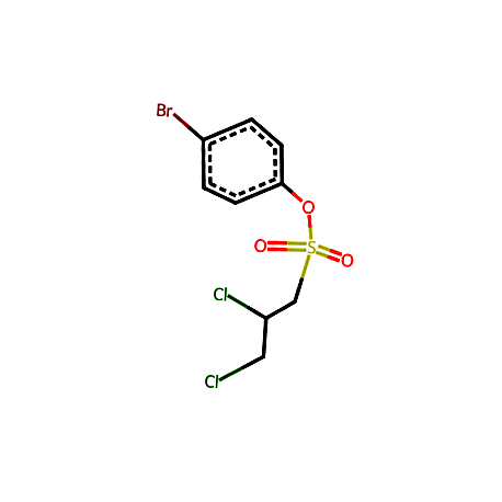 O=S(=O)(CC(Cl)CCl)Oc1ccc(Br)cc1